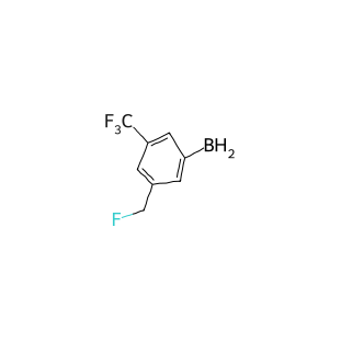 Bc1cc(CF)cc(C(F)(F)F)c1